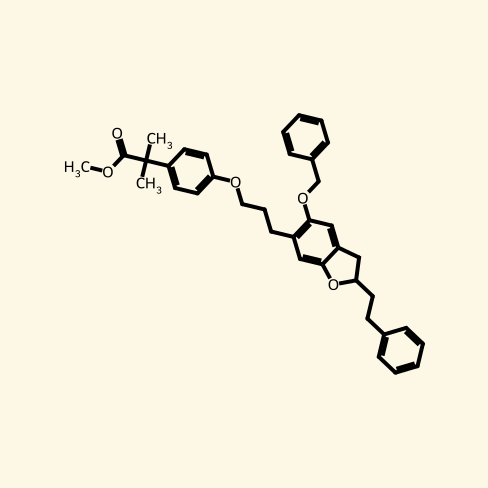 COC(=O)C(C)(C)c1ccc(OCCCc2cc3c(cc2OCc2ccccc2)CC(CCc2ccccc2)O3)cc1